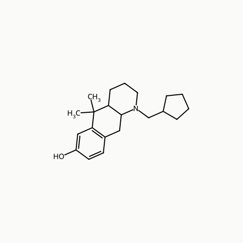 CC1(C)c2cc(O)ccc2CC2C1CCCN2CC1CCCC1